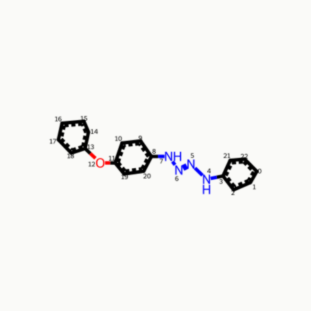 c1ccc(NN=NNc2ccc(Oc3ccccc3)cc2)cc1